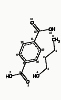 CCCCO.O=C(O)c1ccc(C(=O)O)cc1